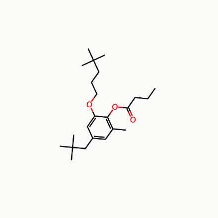 CCCC(=O)Oc1c(C)cc(CC(C)(C)C)cc1OCCCC(C)(C)C